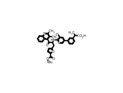 Cc1nc2ccccc2c(C(=O)C(Cc2ccc(C(=O)OC(C)(C)C)o2)Nc2ncc(-c3cccc(C(C)C(=O)O)c3)cc2Cl)c1C